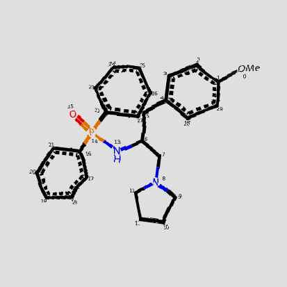 COc1ccc(CC(CN2CCCC2)NP(=O)(c2ccccc2)c2ccccc2)cc1